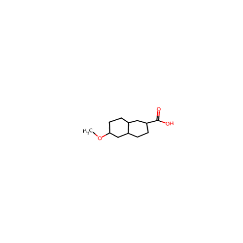 COC1CCC2CC(C(=O)O)CCC2C1